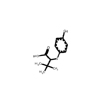 CC(C)(C)C(Sc1ccc(O)cc1)C(=O)O